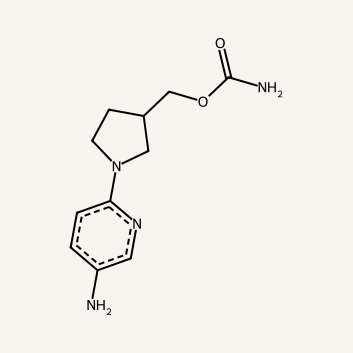 NC(=O)OCC1CCN(c2ccc(N)cn2)C1